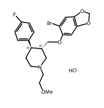 COCCN1CC[C@@H](c2ccc(F)cc2)[C@H](COc2cc3c(cc2Br)OCO3)C1.Cl